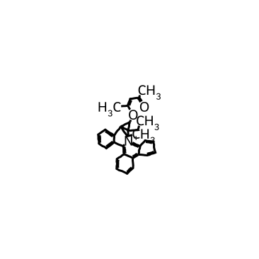 CCC12c3ccccc3-c3c4ccccc4c4ccccc4[n+]3C1(CC)C2O/C(C)=C\C(C)=O